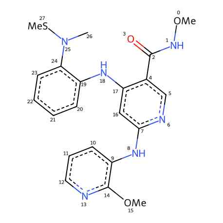 CONC(=O)c1cnc(Nc2cccnc2OC)cc1Nc1ccccc1N(C)SC